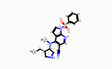 CC[C@@H]1CNC[C@@H]1N(C)c1c(C#N)cnc2c1ccn2S(=O)(=O)c1ccccc1